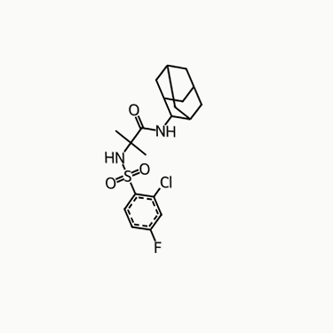 CC(C)(NS(=O)(=O)c1ccc(F)cc1Cl)C(=O)NC1C2CC3CC(C2)CC1C3